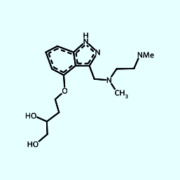 CNCCN(C)Cc1n[nH]c2cccc(OCCC(O)CO)c12